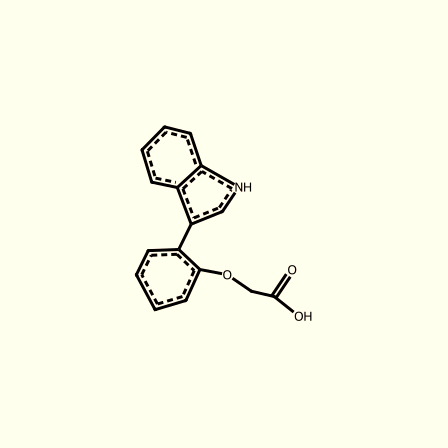 O=C(O)COc1ccccc1-c1c[nH]c2ccccc12